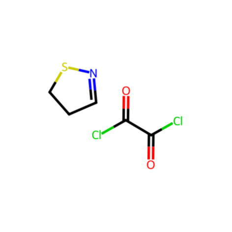 C1=NSCC1.O=C(Cl)C(=O)Cl